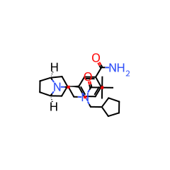 CC(C)(C)C(=O)N(CCN1[C@@H]2CC[C@H]1C[C@@H](c1cccc(C(N)=O)c1)C2)CC1CCCC1